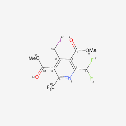 COC(=O)c1c(C(F)F)nc(C(F)(F)F)c(C(=O)OC)c1CI